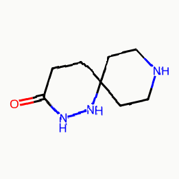 O=C1CCC2(CCNCC2)NN1